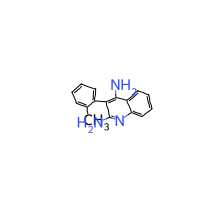 Cc1ccccc1-c1c(N)nc2ccccc2c1N